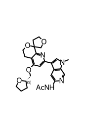 CC(=O)Nc1cc2c(-c3cc(OC[C@@H]4CCCO4)c4c(n3)C3(CCOC3)OCC4)cn(C)c2cn1